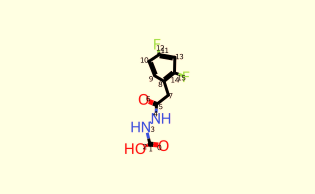 O=C(O)NNC(=O)Cc1ccc(F)cc1F